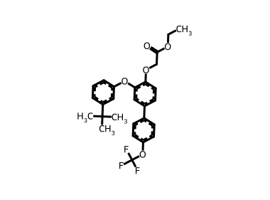 CCOC(=O)COc1ccc(-c2ccc(OC(F)(F)F)cc2)cc1Oc1cccc(C(C)(C)C)c1